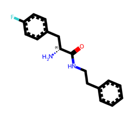 N[C@H](Cc1ccc(F)cc1)C(=O)NCCc1ccccc1